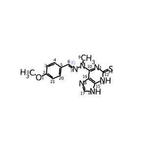 COc1ccc(/C=N/N(C)c2nc(=S)[nH]c3[nH]cnc23)cc1